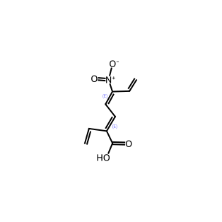 C=C/C(=C\C=C(/C=C)[N+](=O)[O-])C(=O)O